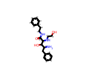 NC(Cc1ccccc1)C(O)C(NCCO)C(=O)NCCc1ccccc1